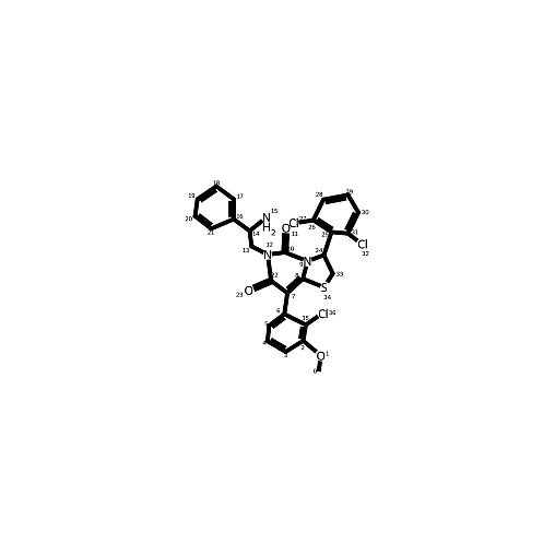 COc1cccc(-c2c3n(c(=O)n(CC(N)c4ccccc4)c2=O)C(c2c(Cl)cccc2Cl)CS3)c1Cl